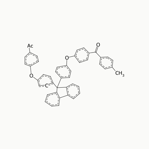 CC(=O)c1ccc(Oc2ccc(C3(c4ccc(Oc5ccc(C(=O)c6ccc(C)cc6)cc5)cc4)c4ccccc4-c4ccccc43)cc2)cc1